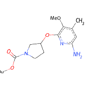 COc1c(C)cc(N)nc1OC1CCN(C(=O)OC(C)(C)C)C1